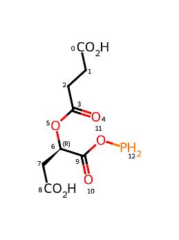 O=C(O)CCC(=O)O[C@H](CC(=O)O)C(=O)OP